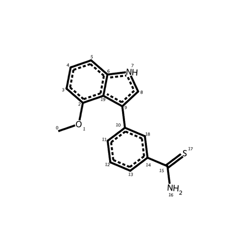 COc1cccc2[nH]cc(-c3cccc(C(N)=S)c3)c12